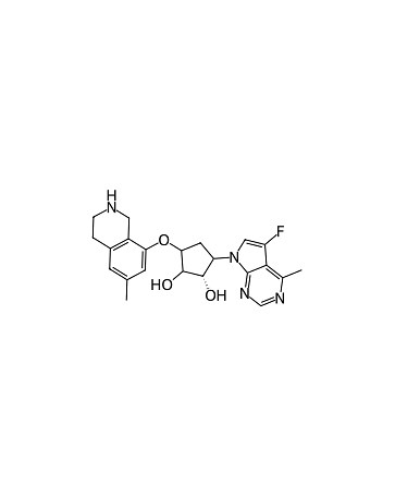 Cc1cc2c(c(OC3CC(n4cc(F)c5c(C)ncnc54)[C@H](O)C3O)c1)CNCC2